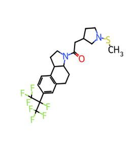 CSN1CCC(CC(=O)N2CCC3c4ccc(C(F)(C(F)(F)F)C(F)(F)F)cc4CCC32)C1